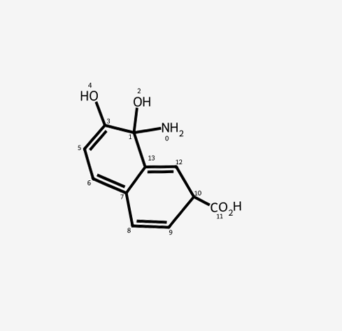 NC1(O)C(O)=CC=C2C=CC(C(=O)O)C=C21